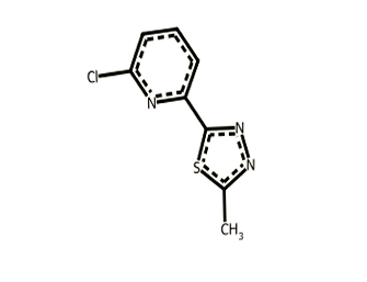 Cc1nnc(-c2cccc(Cl)n2)s1